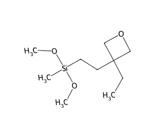 CCC1(CC[Si](C)(OC)OC)COC1